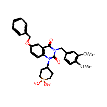 COc1ccc(Cn2c(=O)c3cc(OCc4ccccc4)ccc3n(C3CCS(O)(O)CC3)c2=O)cc1OC